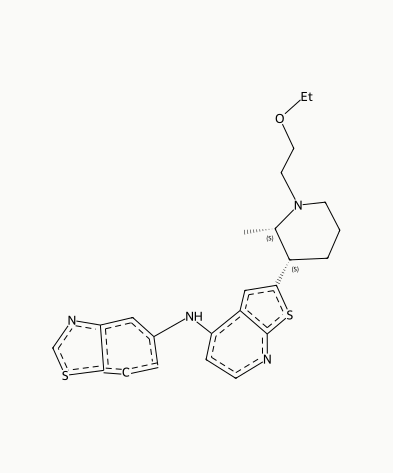 CCOCCN1CCC[C@H](c2cc3c(Nc4ccc5scnc5c4)ccnc3s2)[C@@H]1C